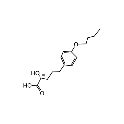 CCCCOc1ccc(CCC[C@@H](O)C(=O)O)cc1